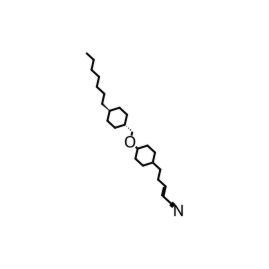 CCCCCCC[C@H]1CC[C@H](COC2CCC(CCC=CC#N)CC2)CC1